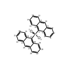 [O]P(=O)(c1c2ccccc2cc2ccccc12)c1c2ccccc2cc2ccccc12